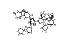 c1ccc(-c2cccc(-c3nc(-c4ccc5c(c4)-c4ccccc4-c4ccccc4C54c5ccccc5-c5ccccc54)nc(-c4ccc5oc6ccccc6c5c4)n3)c2)cc1